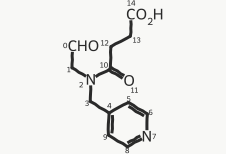 O=CCN(Cc1ccncc1)C(=O)CCC(=O)O